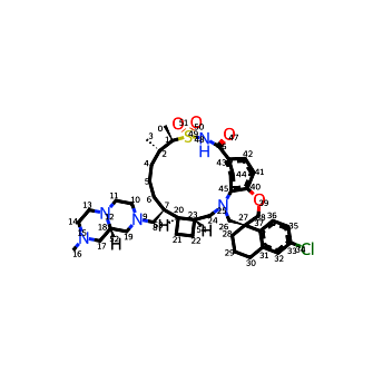 C[C@@H]1[C@@H](C)CCC[C@H](CN2CCN3CCN(C)C[C@H]3C2)[C@@H]2CC[C@H]2CN2C[C@@]3(CCCc4cc(Cl)ccc43)COc3ccc(cc32)C(=O)NS1(=O)=O